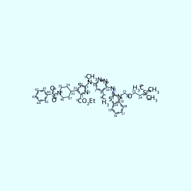 CCOC(=O)c1nc(N(C)c2cc(C)c(/N=c3\sc4ccccc4n3COCC[Si](C)(C)C)nn2)sc1C1CCN(S(=O)(=O)c2ccccc2)CC1